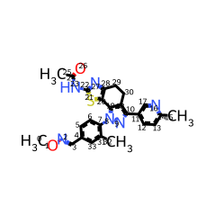 CON=Cc1ccc(-n2nc(-c3ccc(C)nc3)c3c2-c2sc(NC(C)=O)nc2CC3)c(C)c1